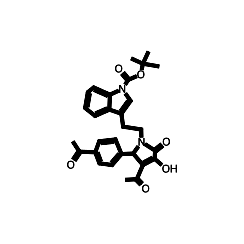 CC(=O)C1=C(O)C(=O)N(CCc2cn(C(=O)OC(C)(C)C)c3ccccc23)C1c1ccc(C(C)=O)cc1